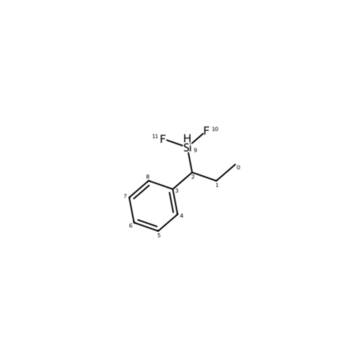 CCC(c1ccccc1)[SiH](F)F